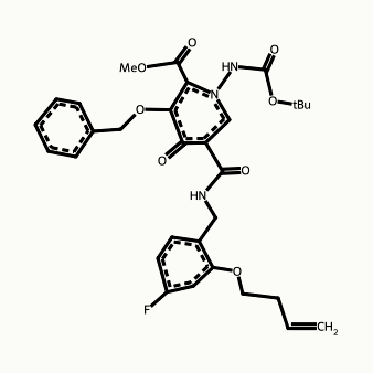 C=CCCOc1cc(F)ccc1CNC(=O)c1cn(NC(=O)OC(C)(C)C)c(C(=O)OC)c(OCc2ccccc2)c1=O